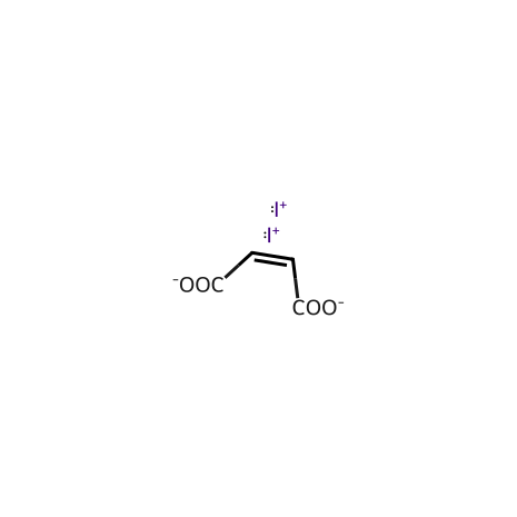 O=C([O-])/C=C\C(=O)[O-].[I+].[I+]